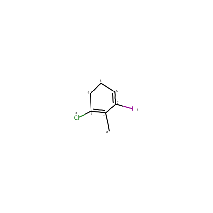 CC1=C(Cl)C[CH]C=C1I